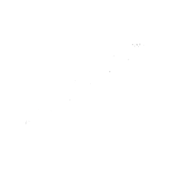 CCCOCCOCCCCCCNC